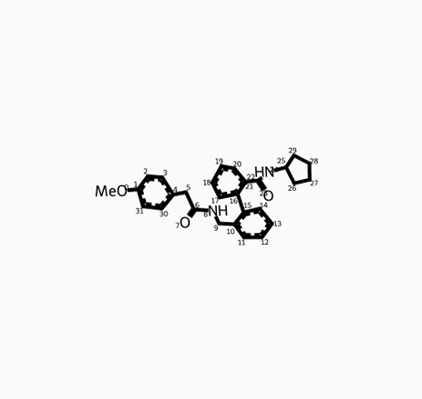 COc1ccc(CC(=O)NCc2ccccc2-c2ccccc2C(=O)NC2CCCC2)cc1